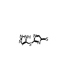 S=C1C=NC(Sc2[c]nn[nH]2)=N1